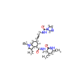 CC[C@H](C)n1cc(C)c2c(C(=O)NCc3c(C)cc(C)[nH]c3=O)cc(C#CCNC(=O)n3ccnc3)cc21